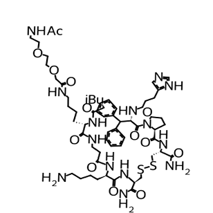 CC[C@H](C)CC(=O)N[C@@H](CCCCNC(=O)COCCOCCNC(C)=O)C(=O)NCCC(=O)N[C@H](CCCCN)C(=O)N[C@@H](CSSC[C@H](NC(=O)[C@@H]1CCCN1C(=O)[C@@H](NC(=O)CCc1cnc[nH]1)C(c1ccccc1)c1ccccc1)C(N)=O)C(N)=O